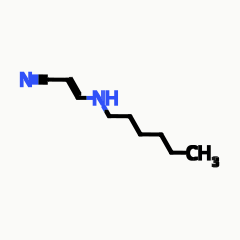 CCCCCCNC=CC#N